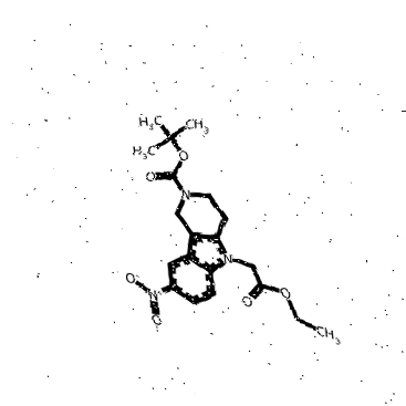 CCOC(=O)Cn1c2c(c3cc([N+](=O)[O-])ccc31)CN(C(=O)OC(C)(C)C)CC2